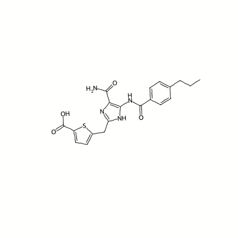 CCCc1ccc(C(=O)Nc2[nH]c(Cc3ccc(C(=O)O)s3)nc2C(N)=O)cc1